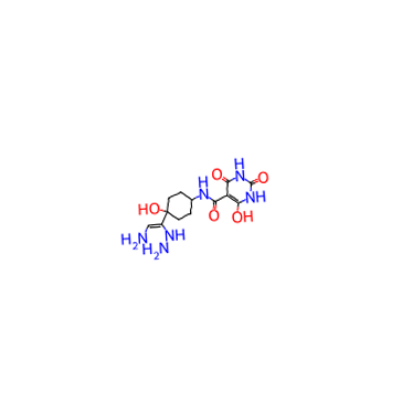 N/C=C(\NN)C1(O)CCC(NC(=O)c2c(O)[nH]c(=O)[nH]c2=O)CC1